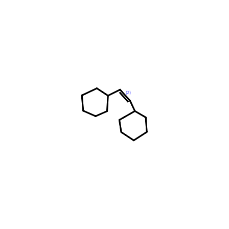 C(=C/C1CCCCC1)/C1CCCCC1